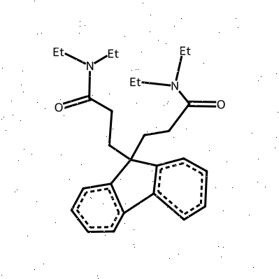 CCN(CC)C(=O)CCC1(CCC(=O)N(CC)CC)c2ccccc2-c2ccccc21